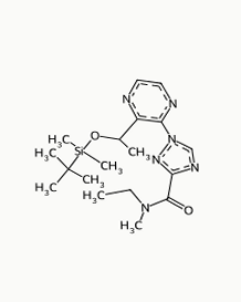 CCN(C)C(=O)c1ncn(-c2nccnc2C(C)O[Si](C)(C)C(C)(C)C)n1